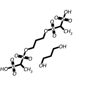 CC(S(=O)(=O)O)S(=O)(=O)OCCCOS(=O)(=O)C(C)S(=O)(=O)O.OCCCO